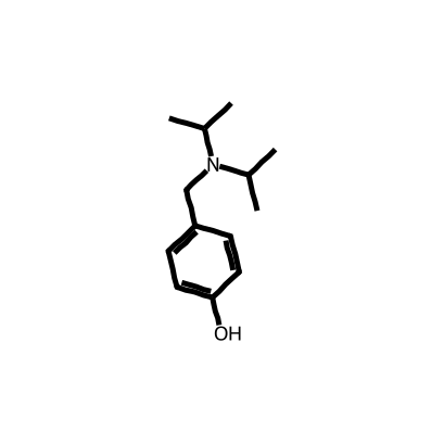 CC(C)N(Cc1ccc(O)cc1)C(C)C